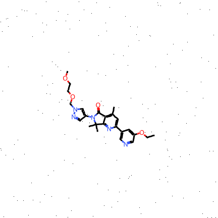 CCOc1cncc(-c2cc(C)c3c(n2)C(C)(C)N(c2cnn(COCCOC)c2)C3=O)c1